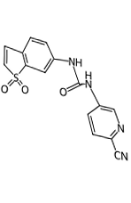 N#Cc1ccc(NC(=O)Nc2ccc3c(c2)S(=O)(=O)C=C3)cn1